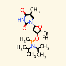 [2H]C[C@H]1O[C@@H](n2cc(C)c(=O)[nH]c2=O)C[C@@H]1OP(C)N(C(C)C)C(C)C